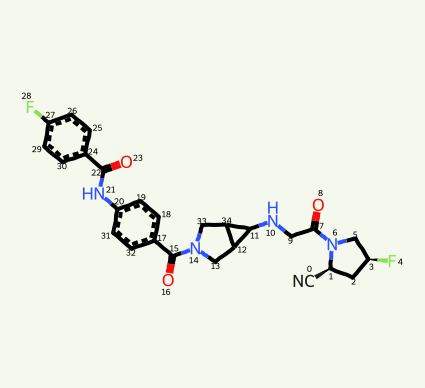 N#C[C@@H]1C[C@H](F)CN1C(=O)CNC1C2CN(C(=O)c3ccc(NC(=O)c4ccc(F)cc4)cc3)CC21